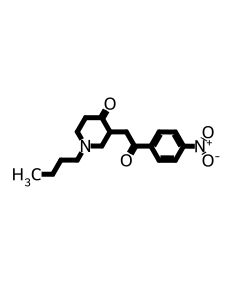 CCCCN1CCC(=O)C(CC(=O)c2ccc([N+](=O)[O-])cc2)C1